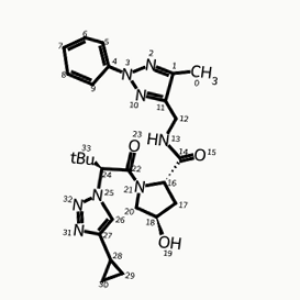 Cc1nn(-c2ccccc2)nc1CNC(=O)[C@@H]1C[C@@H](O)CN1C(=O)[C@@H](n1cc(C2CC2)nn1)C(C)(C)C